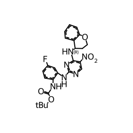 CC(C)(C)OC(=O)Nc1ccc(F)cc1Nc1ncc([N+](=O)[O-])c(N[C@@H]2CCOc3ccccc32)n1